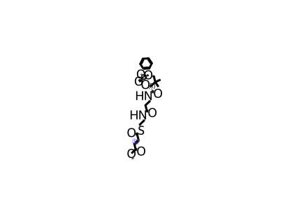 COC(=O)/C=C/C(=O)SCCNC(=O)CCNC(=O)[C@@H]1OP(=O)(Oc2ccccc2)OCC1(C)C